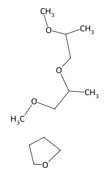 C1CCOC1.COCC(C)OCC(C)OC